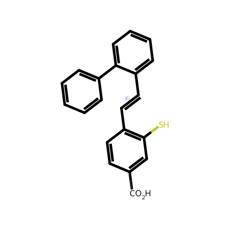 O=C(O)c1ccc(/C=C/c2ccccc2-c2ccccc2)c(S)c1